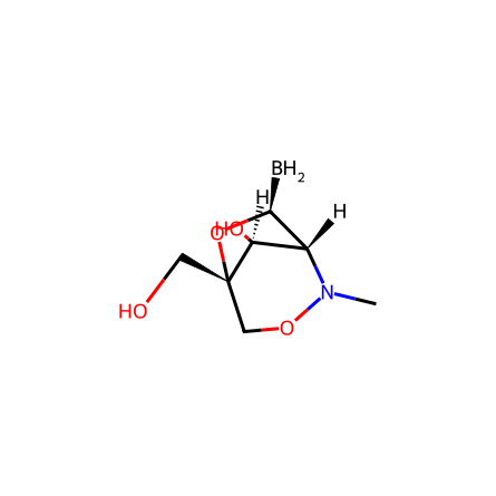 B[C@@H]1O[C@@]2(CO)CON(C)[C@@H]1[C@@H]2O